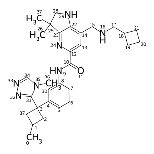 CC1CC(c2cccc(NC(=O)c3cc(CNCC4CCC4)c4c(n3)C(C)(C)CN4)c2)(c2nncn2C)C1